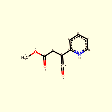 COC(=O)CC(=C=O)c1ccccn1